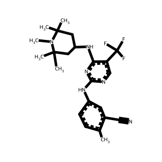 Cc1ccc(Nc2ncc(C(F)(F)F)c(NC3CC(C)(C)N(C)C(C)(C)C3)n2)cc1C#N